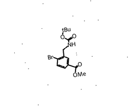 COC(=O)c1ccc(Br)c(CNC(=O)OC(C)(C)C)c1